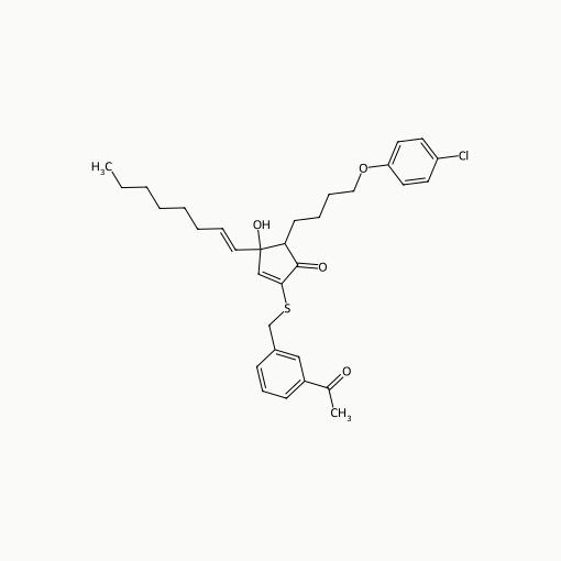 CCCCCC/C=C/C1(O)C=C(SCc2cccc(C(C)=O)c2)C(=O)C1CCCCOc1ccc(Cl)cc1